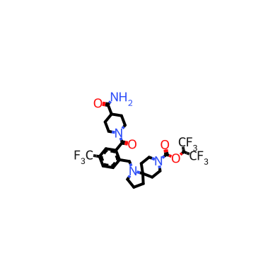 NC(=O)C1CCN(C(=O)c2cc(C(F)(F)F)ccc2CN2CCCC23CCN(C(=O)OC(C(F)(F)F)C(F)(F)F)CC3)CC1